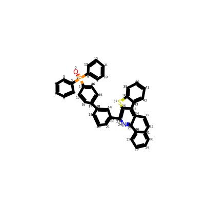 O=P(c1ccccc1)(c1ccccc1)c1ccc(-c2cccc(-c3nc4c5ccccc5ccc4c4c3sc3ccccc34)c2)cc1